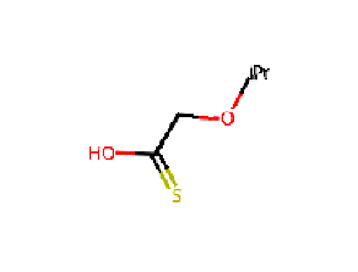 CC(C)OCC(O)=S